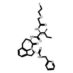 CC[C@H](C)[C@H](NC(=O)COCCF)C(=O)N[C@H]1CCc2cccc3c2N(C1=O)[C@H](C(=O)NCc1ccccn1)C3